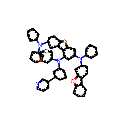 c1ccc(N(c2ccc3c(c2)oc2ccccc23)c2cc(N(c3ccccc3)c3cccc(-c4cccnc4)c3)c3c(c2)sc2ccc(N(c4ccccc4)c4ccccc4)cc23)cc1